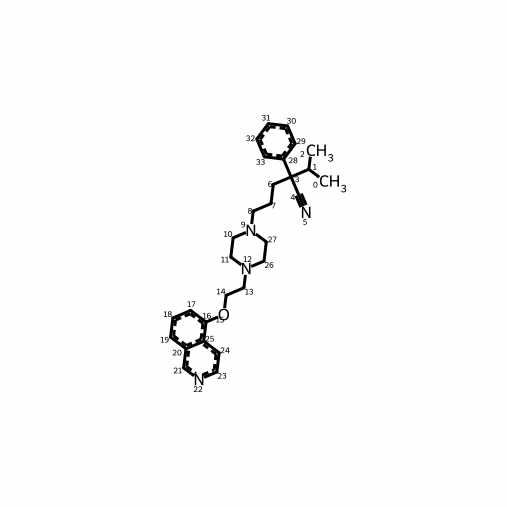 CC(C)C(C#N)(CCCN1CCN(CCOc2cccc3cnccc23)CC1)c1ccccc1